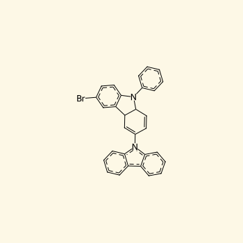 Brc1ccc2c(c1)C1C=C(n3c4ccccc4c4ccccc43)C=CC1N2c1ccccc1